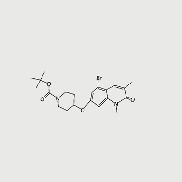 Cc1cc2c(Br)cc(OC3CCN(C(=O)OC(C)(C)C)CC3)cc2n(C)c1=O